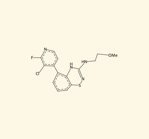 COCCNC1=NSc2cccc(-c3ccnc(F)c3Cl)c2N1